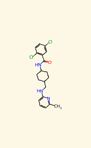 Cc1cccc(NCC2CCC(NC(=O)c3cc(Cl)ccc3Cl)CC2)n1